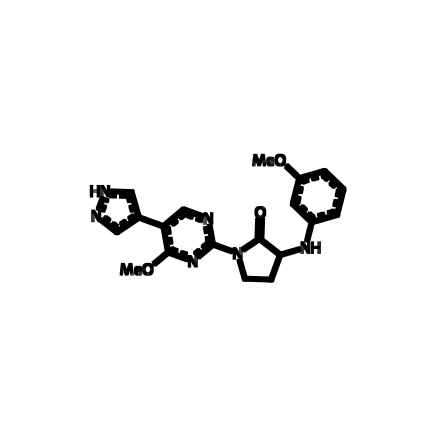 COc1cccc(NC2CCN(c3ncc(-c4cn[nH]c4)c(OC)n3)C2=O)c1